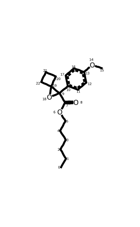 CCCCCCOC(=O)C1(c2ccc(OC)cc2)OC12CCC2